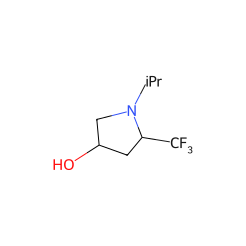 CC(C)N1CC(O)CC1C(F)(F)F